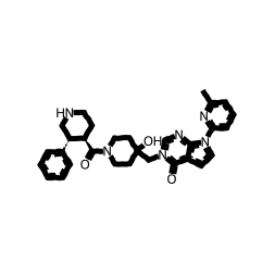 Cc1cccc(-n2ccc3c(=O)n(CC4(O)CCN(C(=O)[C@@H]5CCNC[C@H]5c5ccccc5)CC4)cnc32)n1